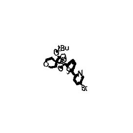 CC(C)(C)OC(=O)C1(S(=O)(=O)c2ccc(-c3ccc(Br)cn3)s2)CCOCC1